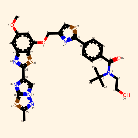 COc1cc(OCc2csc(-c3ccc(C(=O)N(CCO)C(C)(C)C)cc3)n2)c2sc(-c3cn4nc(C)sc4n3)nc2c1